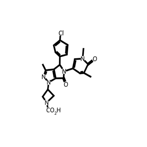 Cc1nn(C2CN(C(=O)O)C2)c2c1C(c1ccc(Cl)cc1)N(c1cc(C)c(=O)n(C)c1)C2=O